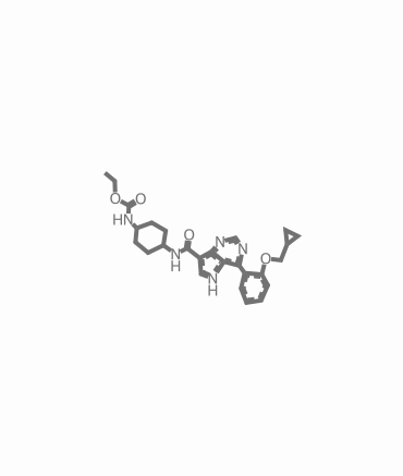 CCOC(=O)NC1CCC(NC(=O)c2c[nH]c3c(-c4ccccc4OCC4CC4)ncnc23)CC1